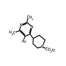 CC(=O)c1c(C)nc(C)nc1C1CCN(C(=O)O)CC1